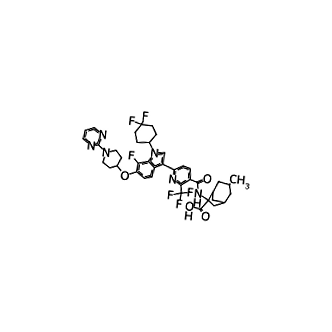 CC1CC2CC(C1)C(NC(=O)c1ccc(-c3cn(C4CCC(F)(F)CC4)c4c(F)c(OC5CCN(c6ncccn6)CC5)ccc34)nc1C(F)(F)F)(C(=O)O)C2